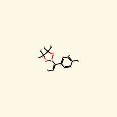 CC=C(B1OC(C)(C)C(C)(C)O1)c1ccc(C)cc1